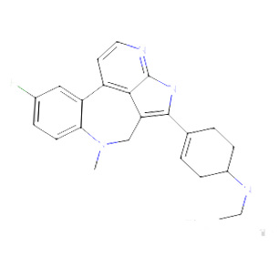 CC(C)[C@@H](NC1CC=C(c2[nH]c3nccc4c3c2CN(C)c2ccc(F)cc2-4)CC1)C(=O)O